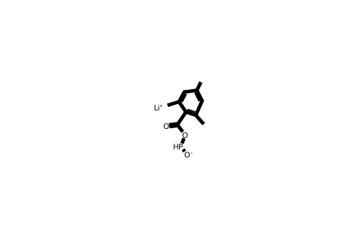 Cc1cc(C)c(C(=O)OP[O-])c(C)c1.[Li+]